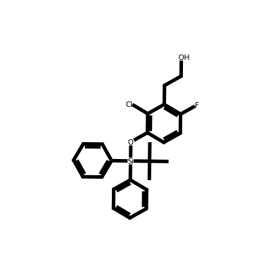 CC(C)(C)[Si](Oc1ccc(F)c(CCO)c1Cl)(c1ccccc1)c1ccccc1